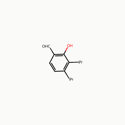 CC(C)c1ccc(C=O)c(O)c1C(C)C